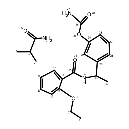 CC(C)C(N)=O.CCOc1ccccc1C(=O)NC(C)c1cccc(OC(N)=O)c1